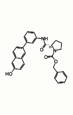 O=C(Nc1cccc(-c2ccc3cc(O)ccc3c2)c1)[C@@H]1CCCN1C(=O)OCc1ccccc1